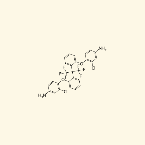 Nc1ccc(Oc2ccccc2C(c2ccccc2Oc2ccc(N)cc2Cl)(C(F)(F)F)C(F)(F)F)c(Cl)c1